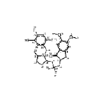 COc1cc2c(cc1OC)C(=O)C(CC(C)(F)CC1CCC(C)N1Cc1cc(F)c(F)cc1F)C2